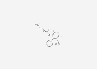 CC1=C(C#N)C(c2ccccc2F)C(OC(=O)OCCN(C)C)=C(C)N1